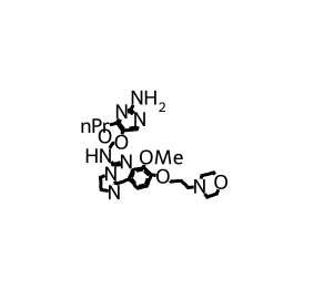 CCCc1nc(N)ncc1OC(=O)NC1=Nc2c(ccc(OCCCN3CCOCC3)c2OC)C2=NCCN12